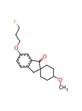 COC1CCC2(CC1)Cc1ccc(OCCCF)cc1C2=O